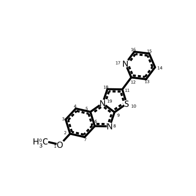 COc1ccc2c(c1)nc1sc(-c3ccccn3)cn12